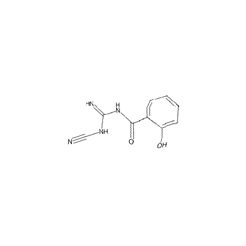 N#CNC(=N)NC(=O)c1ccccc1O